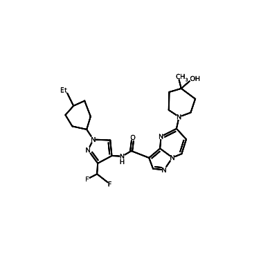 CCC1CCC(n2cc(NC(=O)c3cnn4ccc(N5CCC(C)(O)CC5)nc34)c(C(F)F)n2)CC1